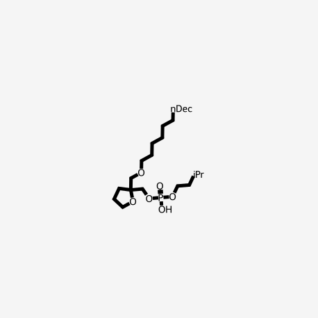 CCCCCCCCCCCCCCCCOCC1(COP(=O)(O)OCCC(C)C)CCCO1